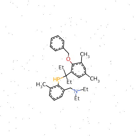 CCN(CC)Cc1cccc(C)c1PC(CC)(CC)c1cc(C)cc(C)c1OCc1ccccc1